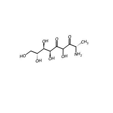 C[C@H](N)C(=O)C(O)C(=O)[C@@H](O)[C@H](O)[C@H](O)CO